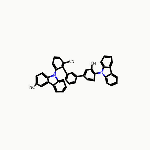 N#Cc1ccc2c(c1)c1ccccc1n2-c1cccc(C#N)c1-c1cccc(-c2ccc(-n3c4ccccc4c4ccccc43)c(C#N)c2)c1